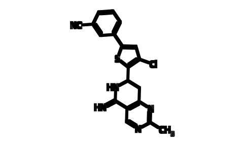 Cc1ncc2c(n1)CC(c1sc(-c3cccc(C#N)c3)cc1Cl)NC2=N